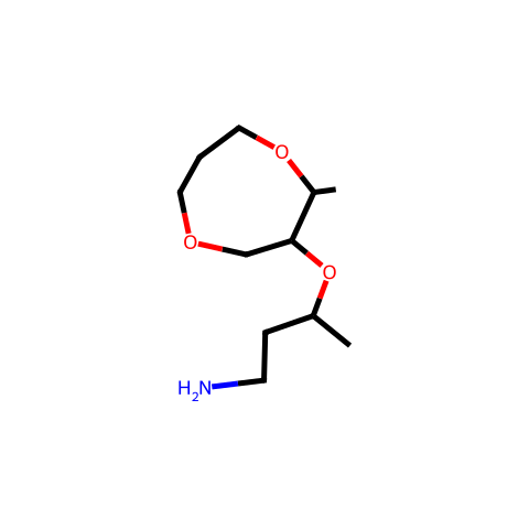 CC(CCN)OC1COCCCOC1C